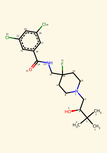 CC(C)(C)[C@@H](O)CN1CCC(F)(CNC(=O)c2cc(Cl)cc(Cl)c2)CC1